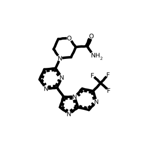 NC(=O)C1CN(c2ccnc(-c3cnc4cnc(C(F)(F)F)cn34)n2)CCO1